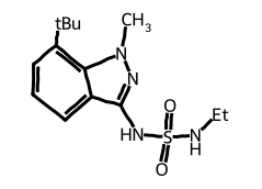 CCNS(=O)(=O)Nc1nn(C)c2c(C(C)(C)C)cccc12